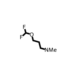 CNCCCOC(F)F